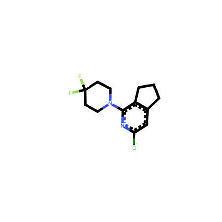 FC1(F)CCN(c2nc(Cl)cc3c2CCC3)CC1